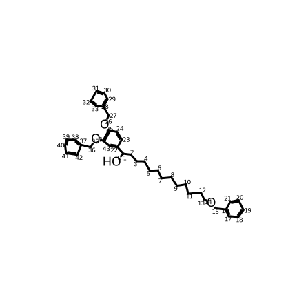 OC(CCCCCCCCCCCCOCc1ccccc1)c1ccc(OCc2ccccc2)c(OCc2ccccc2)c1